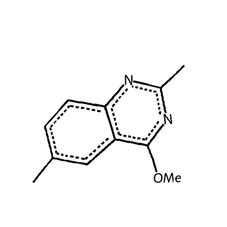 COc1nc(C)nc2ccc(C)cc12